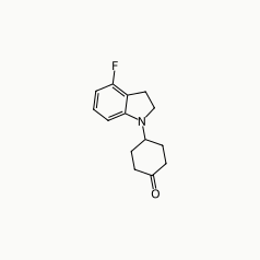 O=C1CCC(N2CCc3c(F)cccc32)CC1